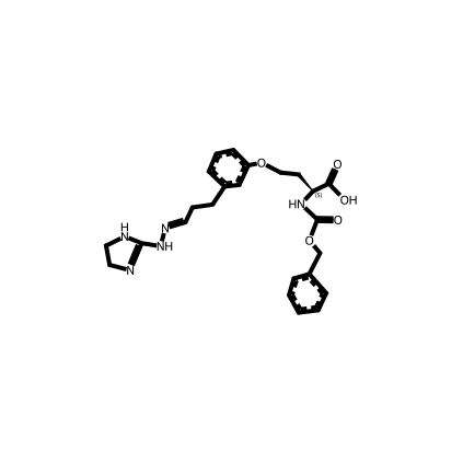 O=C(N[C@@H](CCOc1cccc(CCC=NNC2=NCCN2)c1)C(=O)O)OCc1ccccc1